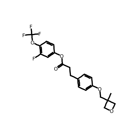 CC1(COc2ccc(CCC(=O)Oc3ccc(OC(F)(F)F)c(F)c3)cc2)COC1